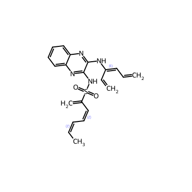 C=C/C=C(\C=C)Nc1nc2ccccc2nc1NS(=O)(=O)C(=C)/C=C\C=C/C